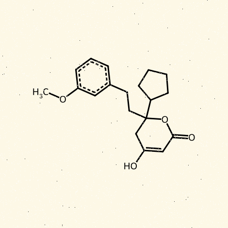 COc1cccc(CCC2(C3CCCC3)CC(O)=CC(=O)O2)c1